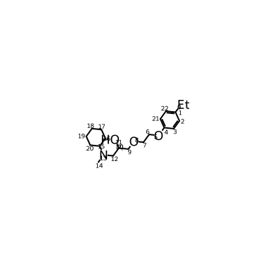 CCc1ccc(OCCOC[C@H](O)CN(C)C2CCCCC2)cc1